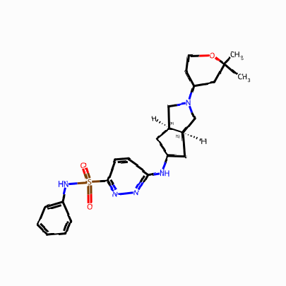 CC1(C)CC(N2C[C@H]3CC(Nc4ccc(S(=O)(=O)Nc5ccccc5)nn4)C[C@H]3C2)CCO1